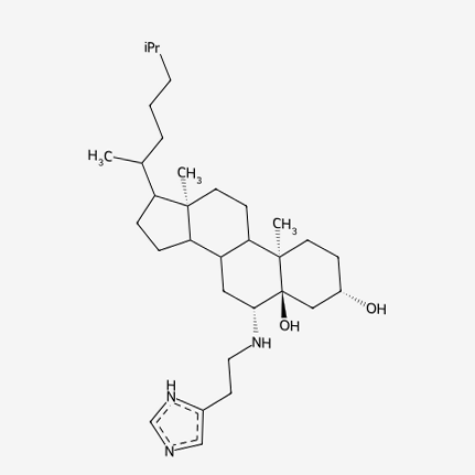 CC(C)CCCC(C)C1CCC2C3C[C@@H](NCCc4cnc[nH]4)[C@@]4(O)C[C@@H](O)CC[C@]4(C)C3CC[C@]12C